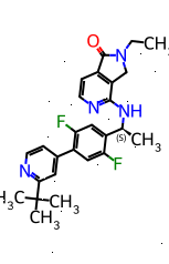 CCN1Cc2c(ccnc2N[C@@H](C)c2cc(F)c(-c3ccnc(C(C)(C)C)c3)cc2F)C1=O